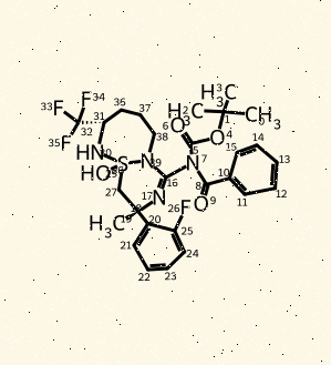 CC(C)(C)OC(=O)N(C(=O)c1ccccc1)C1=N[C@](C)(c2ccccc2F)CS2(O)N[C@H](C(F)(F)F)CCCN12